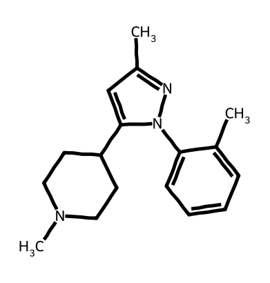 Cc1cc(C2CCN(C)CC2)n(-c2ccccc2C)n1